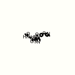 C=CC(=O)NCCNC(=O)c1sc2nccc3c2c1NC(=O)N3c1ccc(Oc2ccc(C)nc2)cc1